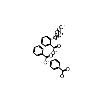 O=C([O-])c1ccccc1.O=C([O-])c1ccccc1.O=C([O-])c1ccccc1.[Al+3].[Al+3].[Cl-].[Cl-].[Cl-]